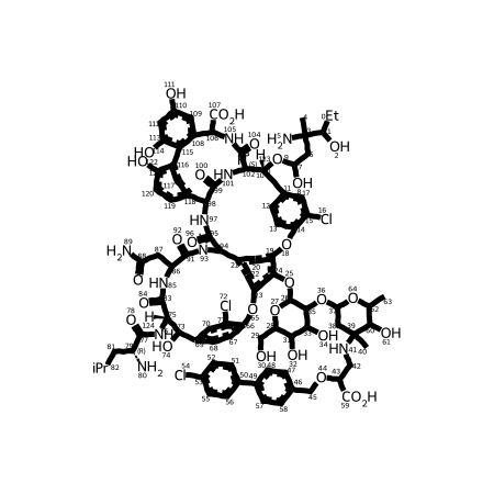 CCC(O)C(C)(N)CC(O)O[C@@H]1c2ccc(c(Cl)c2)Oc2cc3cc(c2OC2OC(CO)C(O)C(O)C2OC2CC(C)(NCC(OCc4ccc(-c5ccc(Cl)cc5)cc4)C(=O)O)C(O)C(C)O2)Oc2ccc(cc2Cl)C(O)[C@H](NC(=O)[C@H](N)CC(C)C)C(=O)NC(CC(N)=O)C(=O)NC3C(=O)NC2C(=O)N[C@@H]1C(=O)NC(C(=O)O)c1cc(O)cc(O)c1-c1cc2ccc1O